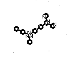 c1ccc(-c2ccc(-c3nc(-c4ccccc4)nc(-c4ccc(-c5ccc(-c6cc(-c7cccnc7)nc(-c7ccccn7)c6)cc5)cc4)n3)cc2)cc1